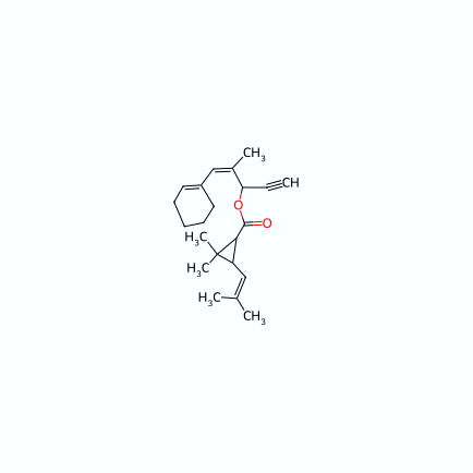 C#CC(OC(=O)C1C(C=C(C)C)C1(C)C)C(C)=CC1=CCCCC1